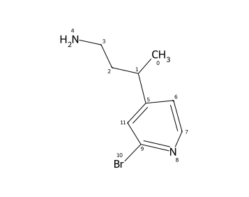 CC(CCN)c1ccnc(Br)c1